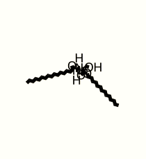 CCCCCCCCCCCCCCCC(=O)NN[C@@H](CO)C(=O)OCCCCCCCCCCCCCC